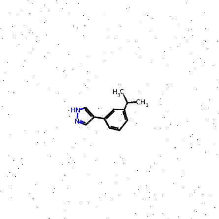 CC(C)c1cccc(-c2cn[nH]c2)c1